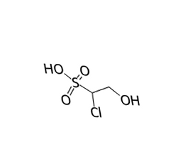 O=S(=O)(O)C(Cl)CO